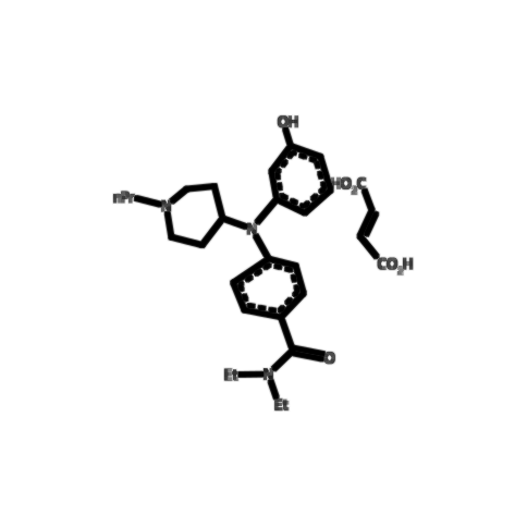 CCCN1CCC(N(c2ccc(C(=O)N(CC)CC)cc2)c2cccc(O)c2)CC1.O=C(O)C=CC(=O)O